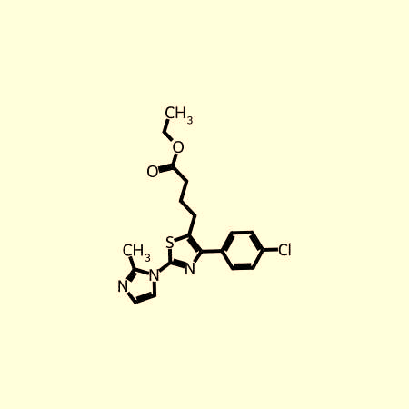 CCOC(=O)CCCc1sc(-n2ccnc2C)nc1-c1ccc(Cl)cc1